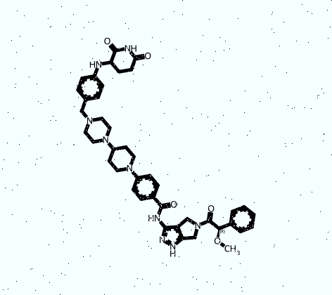 CO[C@@H](C(=O)N1Cc2[nH]nc(NC(=O)c3ccc(N4CCC(N5CCN(Cc6ccc(NC7CCC(=O)NC7=O)cc6)CC5)CC4)cc3)c2C1)c1ccccc1